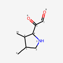 CC1CNC(C(=O)C=O)C1C